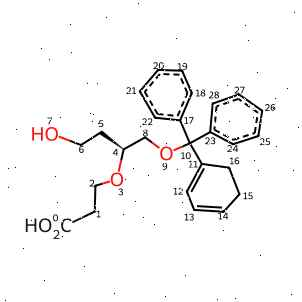 O=C(O)CCO[C@@H](CCO)COC(C1=CC=CCC1)(c1ccccc1)c1ccccc1